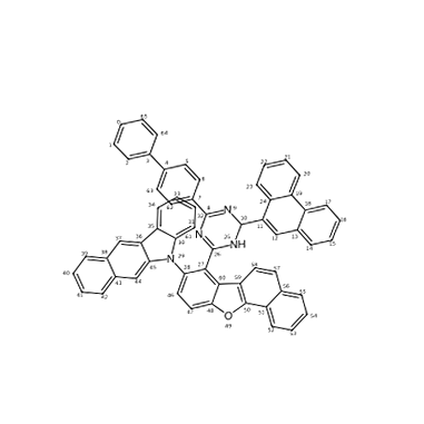 c1ccc(-c2ccc(C3=NC(c4cc5ccccc5c5ccccc45)NC(c4c(-n5c6ccccc6c6cc7ccccc7cc65)ccc5oc6c7ccccc7ccc6c45)=N3)cc2)cc1